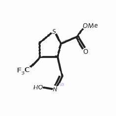 COC(=O)C1SCC(C(F)(F)F)C1/C=N\O